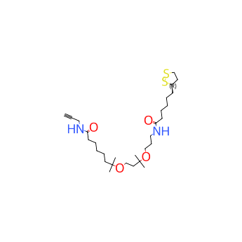 C#CCNC(=O)CCCCCC(C)(C)OCCC(C)(C)OCCCNC(=O)CCCCC[C@@H]1CCSS1